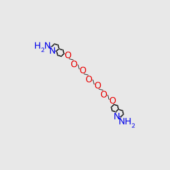 Nc1ccc2cc(OCCOCCOCCOCCOCCOCCOc3ccc4nc(N)ccc4c3)ccc2n1